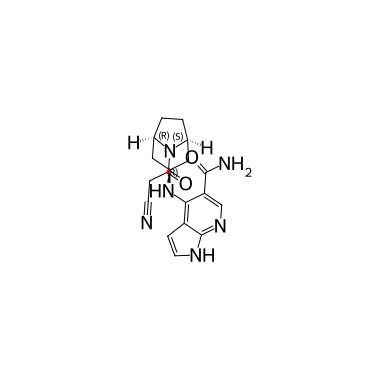 N#CCC(=O)N1[C@@H]2CC[C@H]1C[C@@H](Nc1c(C(N)=O)cnc3[nH]ccc13)C2